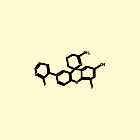 NC1=NC2(COC1)c1cc(-c3cccnc3F)ccc1Oc1c(F)cc(O)cc12